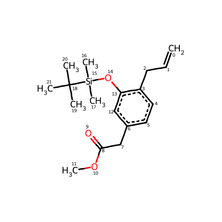 C=CCc1ccc(CC(=O)OC)cc1O[Si](C)(C)C(C)(C)C